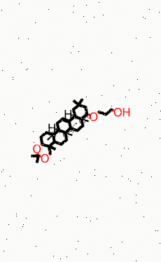 CC1(C)C[C@@H]2C3=CC[C@@H]4[C@@]5(C)CCC6OC(C)(C)OCC6(C)C5CC[C@@]4(C)[C@]3(C)CC[C@@]2(C)[C@H](OCCCO)C1